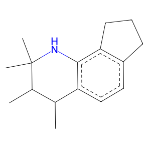 CC1c2ccc3c(c2NC(C)(C)C1C)CCC3